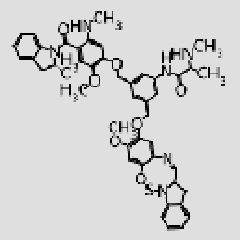 CNc1cc(OCc2cc(COc3cc4c(cc3OC)OSN3c5ccccc5CC3/C=N\4)cc(NC(=O)C(C)NC)c2)c(OC)cc1C(=O)N1c2ccccc2C[C@H]1C